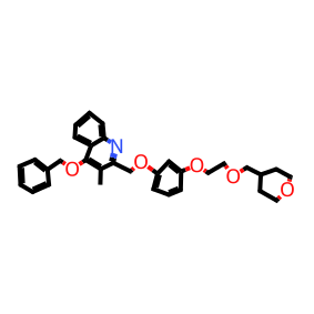 Cc1c(COc2cccc(OCCOCC3CCOCC3)c2)nc2ccccc2c1OCc1ccccc1